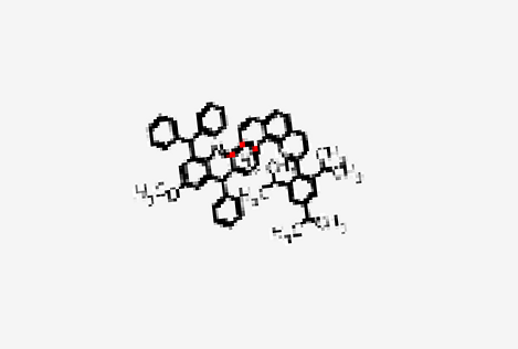 COc1cc(C(c2ccccc2)c2ccccc2)c(N=C(C)c2ccc3ccc4ccc(-c5c(C(C)C)cc(C(C)C)cc5C(C)C)nc4c3n2)c(C(c2ccccc2)c2ccccc2)c1